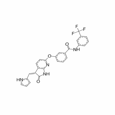 O=C1Nc2nc(Oc3cccc(C(=O)Nc4cccc(C(F)(F)F)c4)c3)ccc2C1=Cc1ccc[nH]1